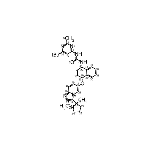 Cc1nc(NC(=O)N[C@H]2CC[C@@H](Oc3ccc4nnc([C@]5(C)CCCN5C)n4c3)c3ccccc32)cc(C(C)(C)C)n1